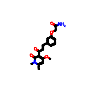 COc1cc(C)n(C)c(=O)c1C(=O)C=Cc1cccc(OCC(N)=O)c1